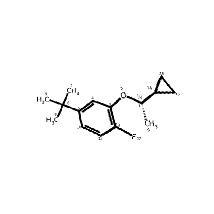 C[C@H](Oc1cc(C(C)(C)C)ccc1F)C1CC1